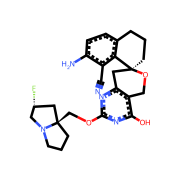 N#Cc1c(N)ccc2c1[C@]1(CCC2)Cc2nc(OC[C@@]34CCCN3C[C@H](F)C4)nc(O)c2CO1